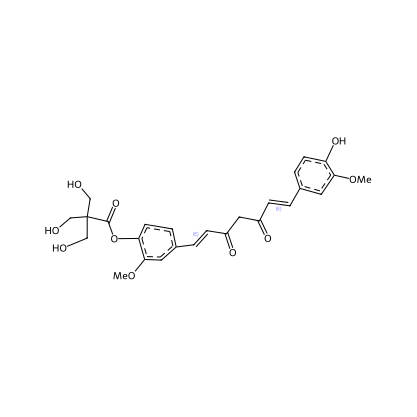 COc1cc(/C=C/C(=O)CC(=O)/C=C/c2ccc(OC(=O)C(CO)(CO)CO)c(OC)c2)ccc1O